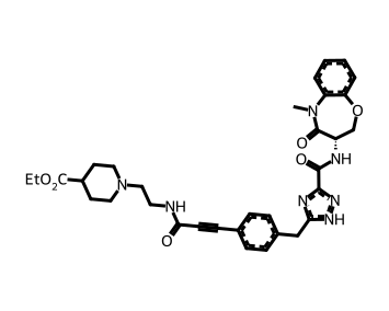 CCOC(=O)C1CCN(CCNC(=O)C#Cc2ccc(Cc3nc(C(=O)N[C@H]4COc5ccccc5N(C)C4=O)n[nH]3)cc2)CC1